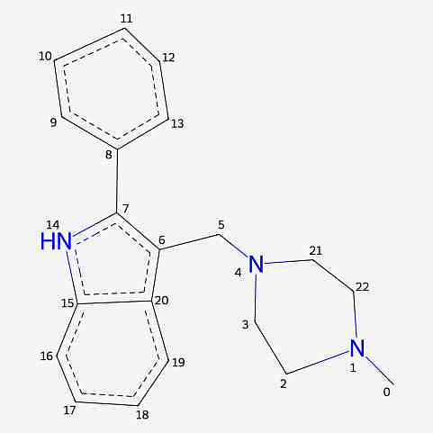 CN1CCN(Cc2c(-c3ccccc3)[nH]c3ccccc23)CC1